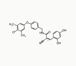 Cc1cc(Oc2ccc(CNC(=O)/C(C#N)=C\c3ccc(O)cc3O)cc2)cc(C)c1Cl